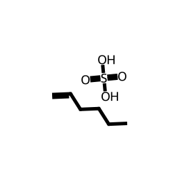 C=CCCCC.O=S(=O)(O)O